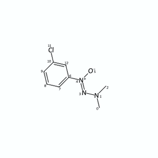 CN(C)N=[N+]([O-])c1cccc(Cl)c1